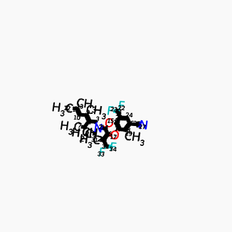 C=CN(C/C(C(=C)C)=C(\C)C=C(C)C)C(=O)/C(Oc1cc(C(F)F)cc(C#N)c1C)=C(\C)C(F)F